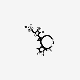 CC1CC2(/C=C\C34CC3(C3OC(COP(=O)(O)O)C(O)C3O)C4CCCCCCCCCC2)C(N)NC1=O